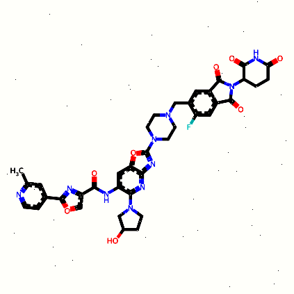 Cc1cc(-c2nc(C(=O)Nc3cc4oc(N5CCN(Cc6cc7c(cc6F)C(=O)N(C6CCC(=O)NC6=O)C7=O)CC5)nc4nc3N3CCC(O)C3)co2)ccn1